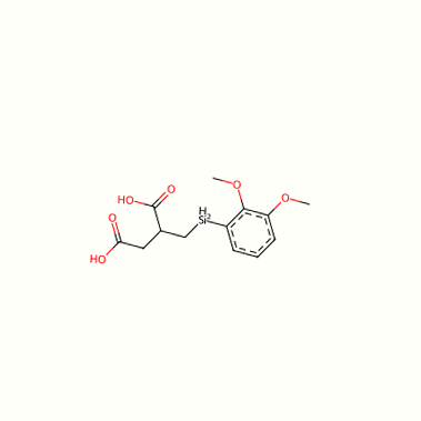 COc1cccc([SiH2]CC(CC(=O)O)C(=O)O)c1OC